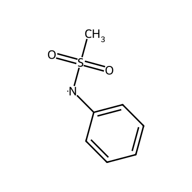 CS(=O)(=O)[N]c1ccccc1